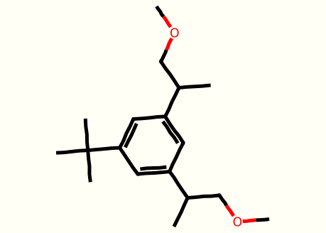 COCC(C)c1cc(C(C)COC)cc(C(C)(C)C)c1